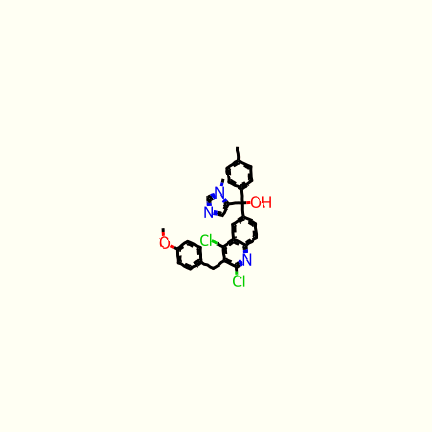 COc1ccc(Cc2c(Cl)nc3ccc(C(O)(c4ccc(C)cc4)c4cncn4C)cc3c2Cl)cc1